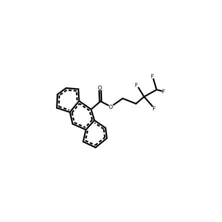 O=C(OCCC(F)(F)C(F)F)c1c2ccccc2cc2ccccc12